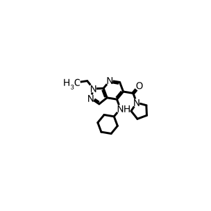 CCn1ncc2c(NC3CCCCC3)c(C(=O)N3CCCC3)cnc21